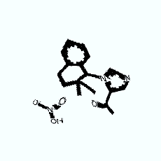 CC(=O)c1cncn1C1c2ccccc2CCC1(C)C.O=[N+]([O-])O